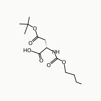 CCCCOC(=O)N[C@@H](CC(=O)OC(C)(C)C)C(=O)O